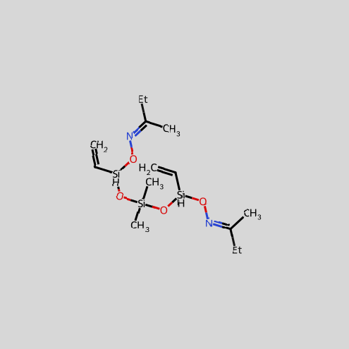 C=C[SiH](ON=C(C)CC)O[Si](C)(C)O[SiH](C=C)ON=C(C)CC